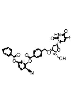 N#Cc1ccc(OC(=O)c2ccccc2)nc1OC(=O)c1ccc(CO[C@H]2C[C@H](n3cc(F)c(=O)[nH]c3=O)O[C@@H]2CO)cc1